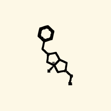 CCOP1CC2CN(Cc3ccccc3)C[C@@H]2C1